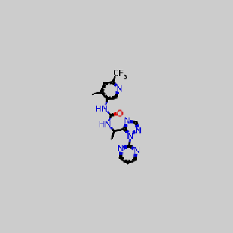 Cc1cc(C(F)(F)F)ncc1NC(=O)NC(C)c1ncnn1-c1ncccn1